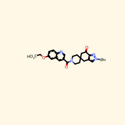 CC(C)(C)n1cc2c(n1)C(=O)CC1(CCN(C(=O)c3cnc4ccc(OCC(=O)O)cc4c3)CC1)C2